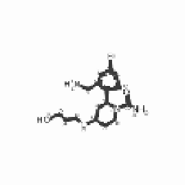 NCc1cc(F)ccc1C1CC(OCCCO)CCN1C(N)=O